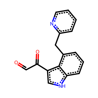 O=CC(=O)c1c[nH]c2cccc(Cc3ccccn3)c12